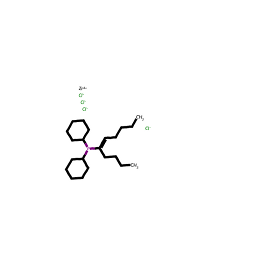 CCCCC=C(CCCC)P(C1CCCCC1)C1CCCCC1.[Cl-].[Cl-].[Cl-].[Cl-].[Zr+4]